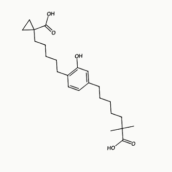 CC(C)(CCCCCc1ccc(CCCCCC2(C(=O)O)CC2)c(O)c1)C(=O)O